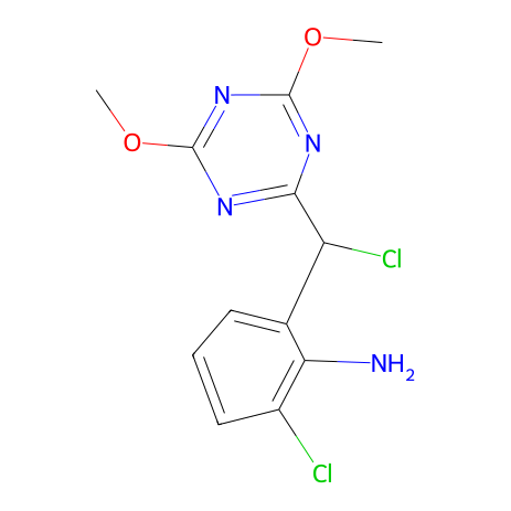 COc1nc(OC)nc(C(Cl)c2cccc(Cl)c2N)n1